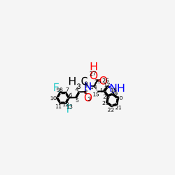 CN(C(=O)C=Cc1cc(F)ccc1F)[C@@H](Cc1c[nH]c2ccccc12)C(=O)O